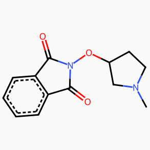 CN1CCC(ON2C(=O)c3ccccc3C2=O)C1